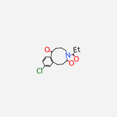 CCC(=O)N1CCCC(=O)c2ccc(Cl)cc2CCC1=O